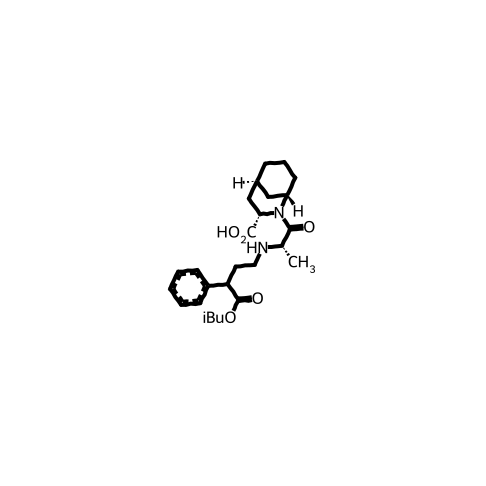 CC(C)COC(=O)C(CCN[C@@H](C)C(=O)N1[C@H]2CCC[C@@H](C2)C[C@H]1C(=O)O)c1ccccc1